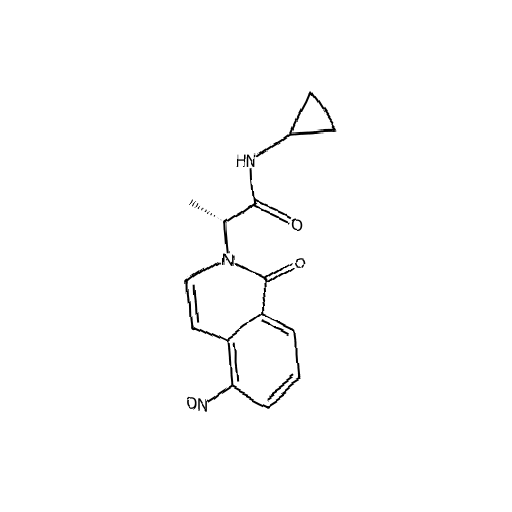 C[C@H](C(=O)NC1CC1)n1ccc2c(N=O)cccc2c1=O